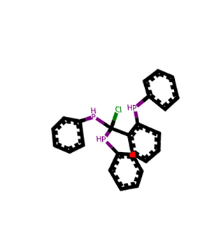 ClC(Pc1ccccc1)(Pc1ccccc1)c1ccccc1Pc1ccccc1